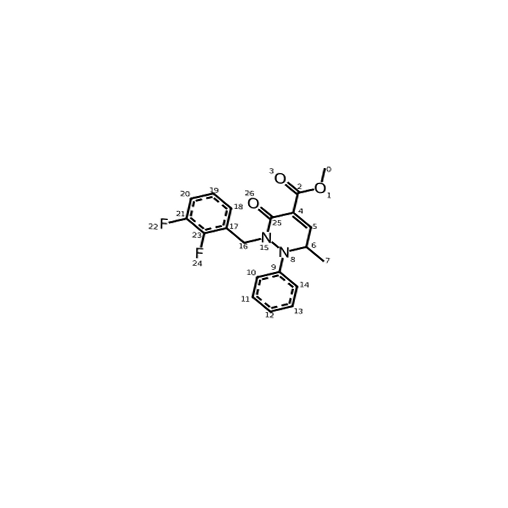 COC(=O)C1=CC(C)N(c2ccccc2)N(Cc2cccc(F)c2F)C1=O